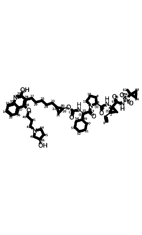 C=C[C@@H]1C[C@]1(NC(=O)[C@@H]1CCCN1C(=O)[C@@H](NC(=O)O[C@@H]1CC1CCCCCc1c(O)nc2ccccc2c1OCCCN1CC[C@@H](O)C1)C1CCCCC1)C(=O)NS(=O)(=O)C1(C)CC1